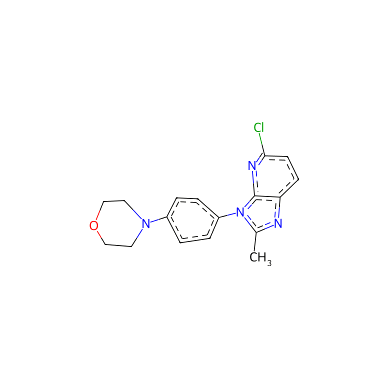 Cc1nc2ccc(Cl)nc2n1-c1ccc(N2CCOCC2)cc1